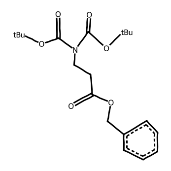 CC(C)(C)OC(=O)N(CCC(=O)OCc1ccccc1)C(=O)OC(C)(C)C